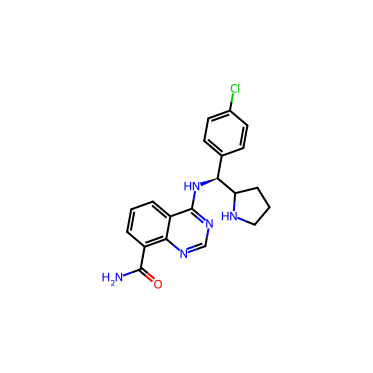 NC(=O)c1cccc2c(N[C@@H](c3ccc(Cl)cc3)C3CCCN3)ncnc12